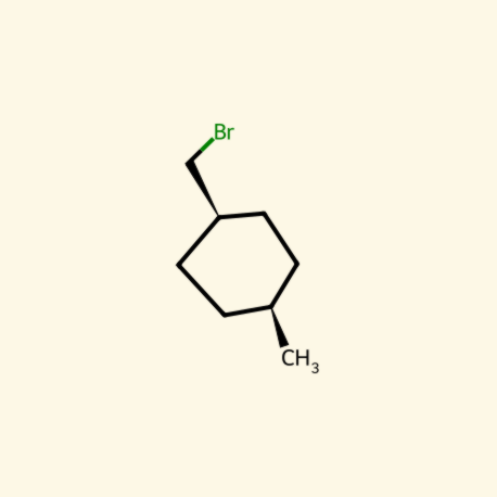 C[C@H]1CC[C@@H](CBr)CC1